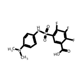 CN(C)c1ccc(NS(=O)(=O)c2cc(C(=O)O)c(F)c(F)c2F)cc1